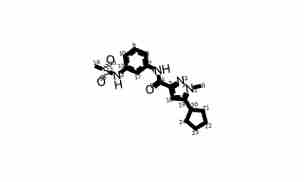 Cn1nc(C(=O)Nc2cccc(NS(C)(=O)=O)c2)cc1C1CCCC1